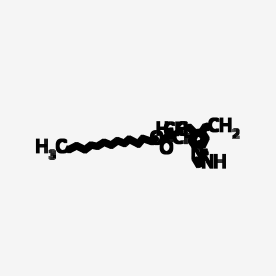 C=C(C)C(=O)OCCCCCCCCCCCCCC.C=Cc1ccccc1C=C.c1c[nH]cn1